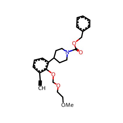 C#Cc1cccc(C2CCN(C(=O)OCc3ccccc3)CC2)c1OCOCCOC